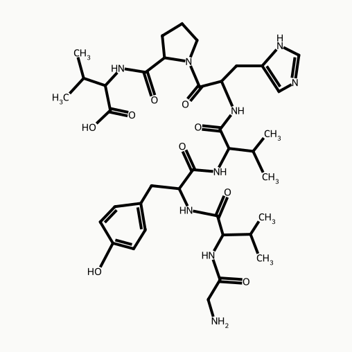 CC(C)C(NC(=O)C1CCCN1C(=O)C(Cc1cnc[nH]1)NC(=O)C(NC(=O)C(Cc1ccc(O)cc1)NC(=O)C(NC(=O)CN)C(C)C)C(C)C)C(=O)O